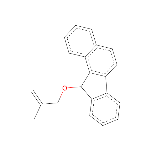 C=C(C)COC1c2ccccc2-c2ccc3ccccc3c21